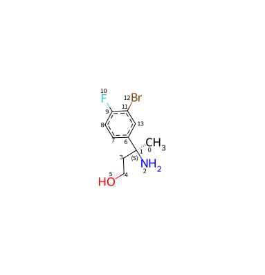 C[C@](N)(CCO)c1ccc(F)c(Br)c1